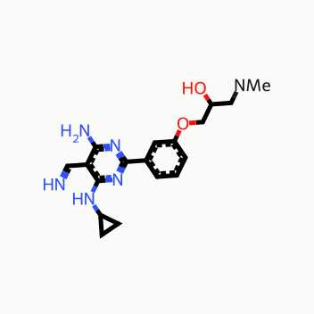 CNCC(O)COc1cccc(-c2nc(N)c(C=N)c(NC3CC3)n2)c1